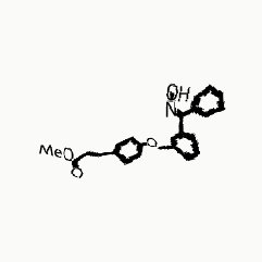 COC(=O)CCc1ccc(OCc2cccc(C(=NO)c3ccccc3)c2)cc1